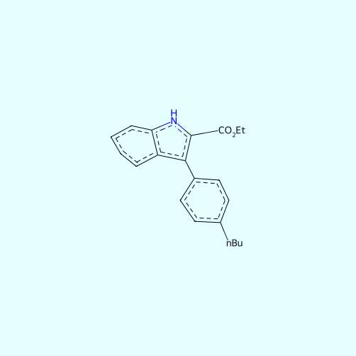 CCCCc1ccc(-c2c(C(=O)OCC)[nH]c3ccccc23)cc1